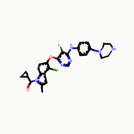 Cc1cc2c(F)c(Oc3ncnc(Nc4ccc(N5CCNCC5)cc4)c3F)ccc2n1C(=O)C1CC1